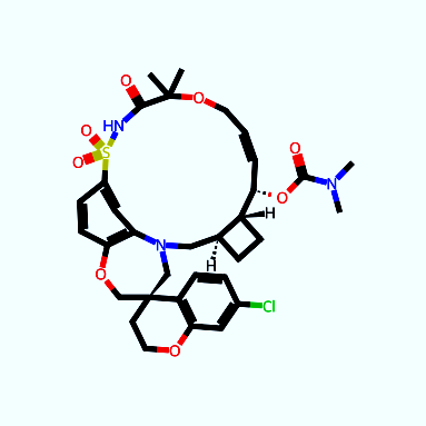 CN(C)C(=O)O[C@H]1C=CCOC(C)(C)C(=O)NS(=O)(=O)c2ccc3c(c2)N(C[C@@H]2CC[C@H]21)C[C@@]1(CCOc2cc(Cl)ccc21)CO3